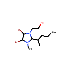 CCCCCCCCCCCCC(C)C1N(CCO)C(Br)C(Br)N1CCCC